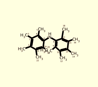 Cc1c(C)c(C)c(Nc2c(C)c(C)c(C)c(C)c2C)c(C)c1C